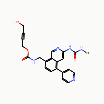 CCNC(=O)Nc1cc2c(-c3ccncc3)ccc(CNC(=O)OCC#CCO)c2cn1